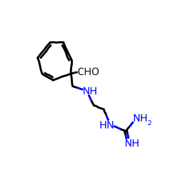 N=C(N)NCCNCC1(C=O)C=CC=CC=C1